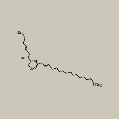 CCCCCCCCCCCCC=CC[C@@H](O)[C@H](CO)NC(=O)CC=CCCCCCCCCCCCCCCCCCCCCCC